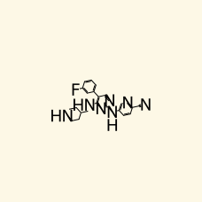 N#Cc1ccc(Nc2ncc(-c3cccc(F)c3)c(NCC3CCNCC3)n2)cn1